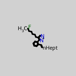 CCCCCCC/C=C/c1ccccc1-c1ncncc1CCCCCC(C)F